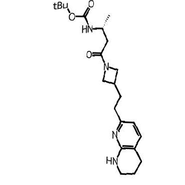 C[C@H](CC(=O)N1CC(CCc2ccc3c(n2)NCCC3)C1)NC(=O)OC(C)(C)C